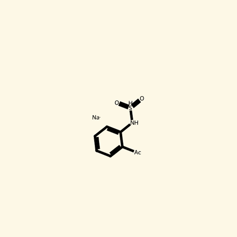 CC(=O)c1ccccc1N[SH](=O)=O.[Na]